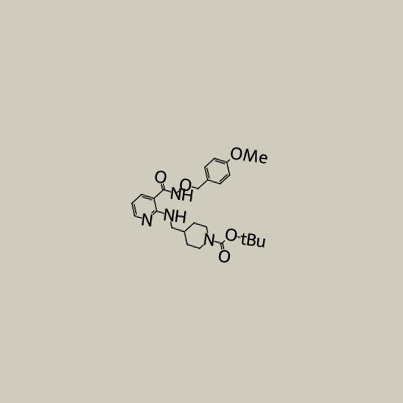 COc1ccc(CONC(=O)c2cccnc2NCC2CCN(C(=O)OC(C)(C)C)CC2)cc1